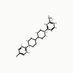 Cc1cnc(N2CCC(C3CCN(c4ccnc(N)n4)CC3)CC2)nc1